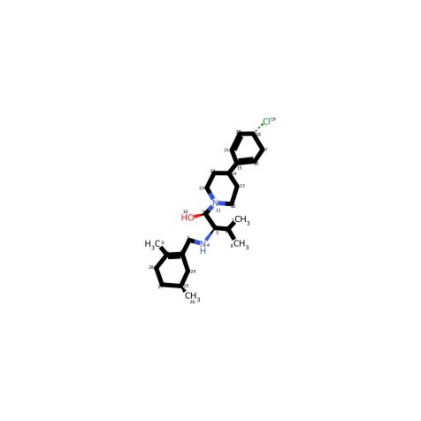 CC1=C(CN[C@H](C(C)C)[C@@H](O)N2CCC(C3=CC[C@@H](Cl)C=C3)CC2)C[C@@H](C)CC1